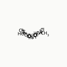 C[C@H](CCl)COc1ccc(Sc2ccc(OCC(O)CCl)cc2)cc1